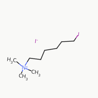 C[N+](C)(C)CCCCCCI.[I-]